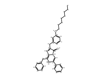 CCCCCCCCOc1cccc(Cc2nc3c(Cc4ccccc4)[nH]c(-c4ccccc4)cn-3c2=O)c1